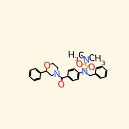 CN(C)S(=O)(=O)N(Cc1ccccc1)c1ccc(C(=O)N2CCOC(c3ccccc3)C2)cc1